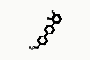 CC[C@H]1CC[C@H]([C@H]2CC[C@H](c3cccc(F)c3F)CC2)CC1